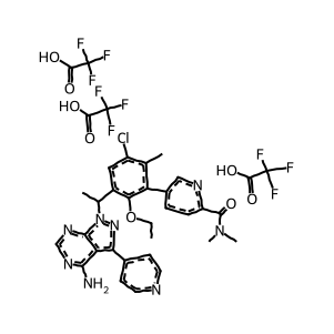 CCOc1c(C(C)n2nc(-c3ccncc3)c3c(N)ncnc32)cc(Cl)c(C)c1-c1ccc(C(=O)N(C)C)nc1.O=C(O)C(F)(F)F.O=C(O)C(F)(F)F.O=C(O)C(F)(F)F